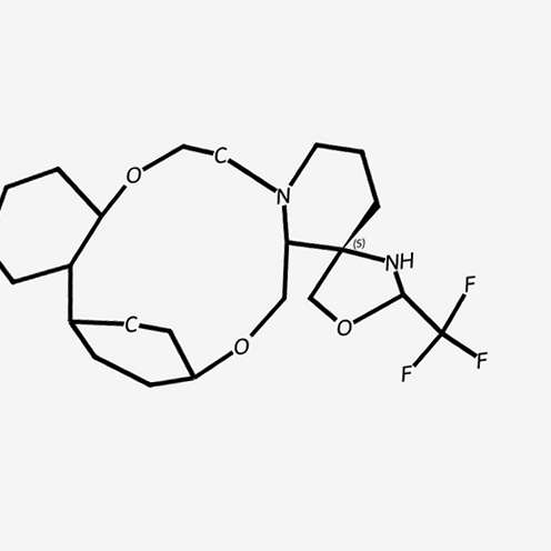 FC(F)(F)C1N[C@]2(CCCN3CCOC4CCCCC4C4CCC(CC4)OCC32)CO1